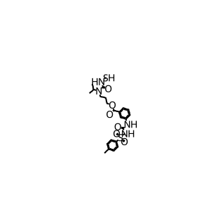 Cc1ccc(S(=O)(=O)NC(=O)Nc2cccc(C(=O)OCCCN(C(=O)NS)C(C)C)c2)cc1